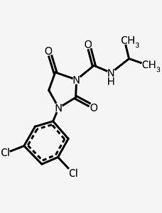 CC(C)NC(=O)N1C(=O)CN(c2cc(Cl)cc(Cl)c2)C1=O